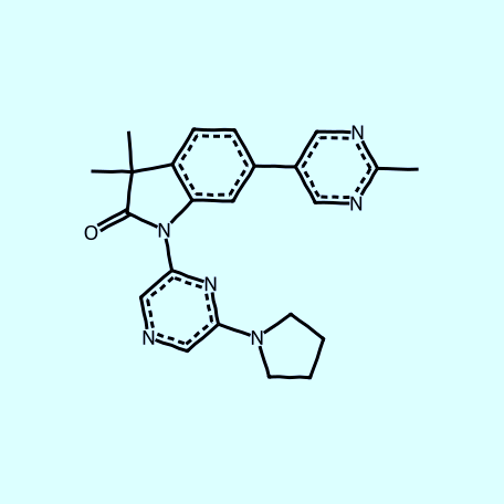 Cc1ncc(-c2ccc3c(c2)N(c2cncc(N4CCCC4)n2)C(=O)C3(C)C)cn1